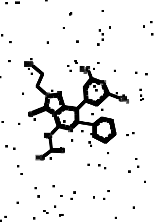 Cc1cc(-c2c(-c3ccccc3)nc(NC(=O)O)n3c(=O)n(CCO)nc23)cc(C)n1